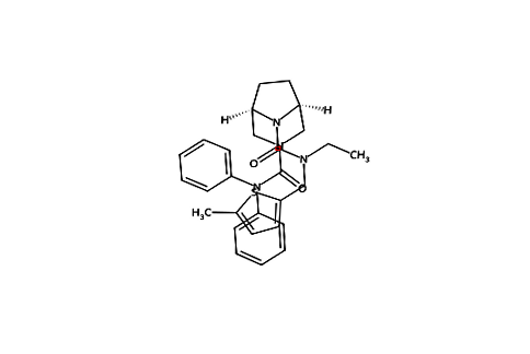 CCN(Cc1ccc(C)s1)C(=O)N1[C@@H]2CC[C@H]1CN(C(=O)N(c1ccccc1)c1ccccc1)C2